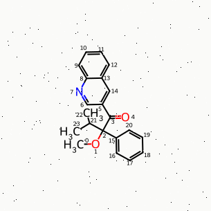 COC(C(=O)c1cnc2ccccc2c1)(c1ccccc1)C(C)C